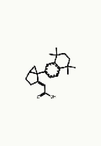 CC1(C)CCC(C)(C)c2cc(C34CC3CCC4=CC(=O)O)ccc21